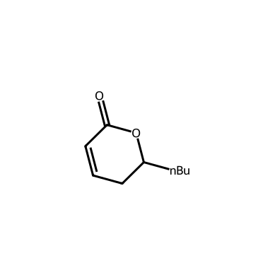 CCCCC1CC=CC(=O)O1